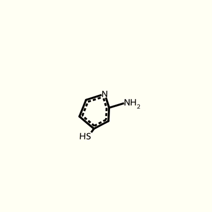 Nc1cc(S)ccn1